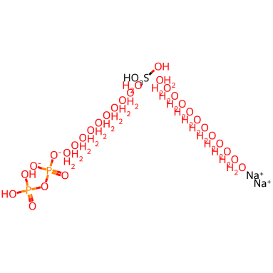 O.O.O.O.O.O.O.O.O.O.O.O.O.O.O.O.O.O.O.O.O.O.O=P([O-])([O-])OP(=O)(O)O.O=S(=O)(O)O.[Na+].[Na+]